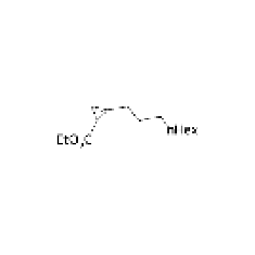 CCCCCCCCCC1=CC1C(=O)OCC